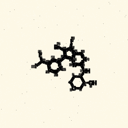 O[C@@H]1COCC[C@H]1Nc1ncc2c(F)c(Br)c(-c3cc(C(F)F)ccn3)n2n1